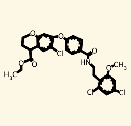 CCOC(=O)C1CCOc2cc(Oc3ccc(C(=O)NCCc4c(Cl)cc(Cl)cc4OC)cc3)c(Cl)cc21